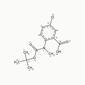 CN(C(=O)OC(C)(C)C)c1ccc(Cl)cc1C(=O)O